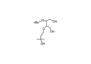 CCCCOC(CO)C(CO)OCCC(C)(C)O